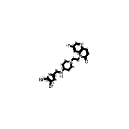 O=c1ccc2ncc(F)cc2n1CCN1CCC(NCc2cc(Br)c(Br)s2)CC1